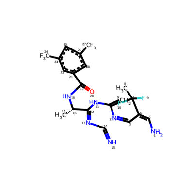 C=C(/N=C\C(=C/N)C(C)(F)F)N/C(=N\C=N)[C@H](C)NC(=O)c1cc(C(F)(F)F)cc(C(F)(F)F)c1